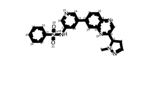 CN1N=CCC1c1cnc2ccc(-c3cncc(NS(=O)(=O)c4ccccc4)c3)cc2n1